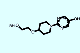 COCCOC1CCN(c2ncc(O)cn2)CC1